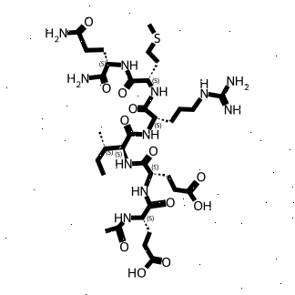 CC[C@H](C)[C@H](NC(=O)[C@H](CCC(=O)O)NC(=O)[C@H](CCC(=O)O)NC(C)=O)C(=O)N[C@@H](CCCNC(=N)N)C(=O)N[C@@H](CCSC)C(=O)N[C@@H](CCC(N)=O)C(N)=O